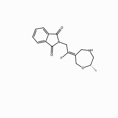 C[C@H]1CNC/C(=C(/F)CN2C(=O)c3ccccc3C2=O)CO1